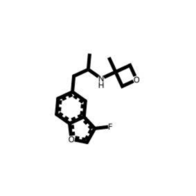 CC(Cc1ccc2occ(F)c2c1)NC1(C)COC1